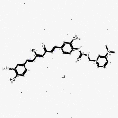 COc1cc(/C=C/C(O)=C/C(=O)/C=C/c2ccc(OC(=O)OC[n+]3cccc(N(C)C)c3)c(OC)c2)ccc1O.[I-]